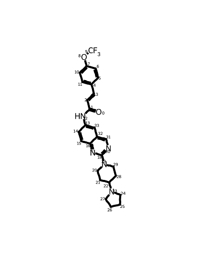 O=C(C=Cc1ccc(OC(F)(F)F)cc1)Nc1ccc2nc(N3CCC(N4CCCC4)CC3)ncc2c1